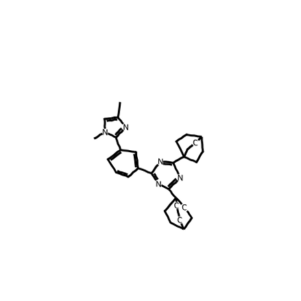 Cc1cn(C)c(-c2cccc(-c3nc(C45CCC(CC4)CC5)nc(C45CCC(CC4)CC5)n3)c2)n1